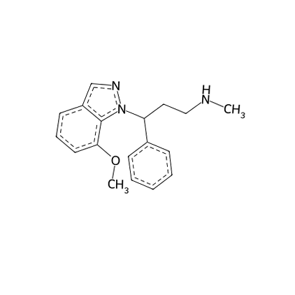 CNCCC(c1ccccc1)n1ncc2cccc(OC)c21